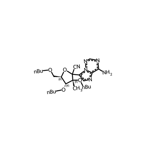 CCCCOC[C@H]1OC(C#N)(c2cnc3c(N)ncnn23)[C@](C)(OCCCC)[C@@H]1OCCCC